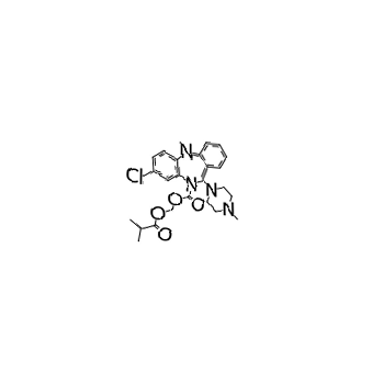 CC(C)C(=O)OCOC(=O)N1C(N2CCN(C)CC2)=c2ccccc2=Nc2ccc(Cl)cc21